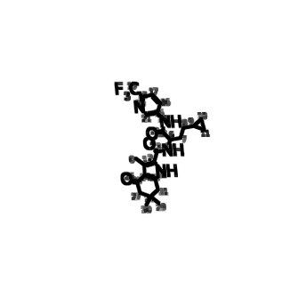 Cc1c(C(=O)NC(CCC2CC2)C(=O)Nc2ccc(C(F)(F)F)nc2)[nH]c2c1C(=O)CC(C)(C)C2